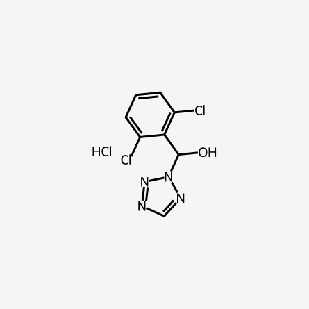 Cl.OC(c1c(Cl)cccc1Cl)n1ncnn1